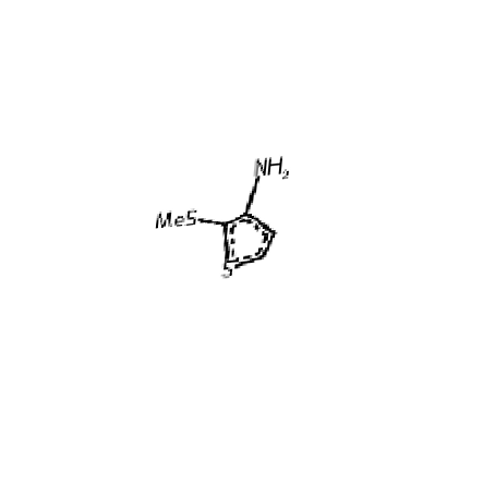 CSc1sccc1N